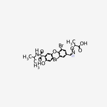 CC(C)NS(=O)(=O)c1cc(Oc2c(Br)cc(/C=N\OC(C)C(=O)O)cc2Br)ccc1O